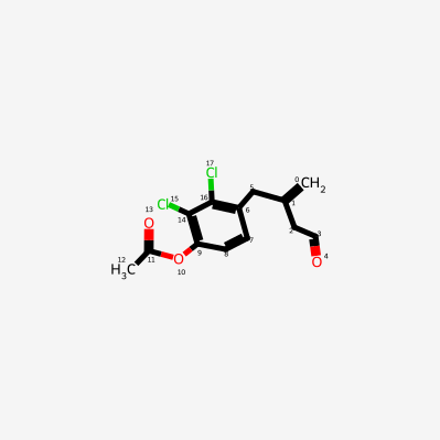 C=C(CC=O)Cc1ccc(OC(C)=O)c(Cl)c1Cl